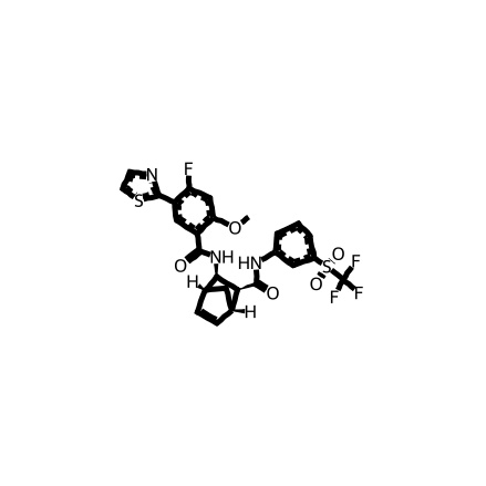 COc1cc(F)c(-c2nccs2)cc1C(=O)N[C@H]1[C@@H](C(=O)Nc2cccc(S(=O)(=O)C(F)(F)F)c2)[C@@H]2C=C[C@H]1C2